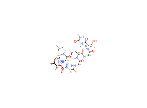 CNC(=O)N(C)C(=O)[C@@H](NC(=O)[C@H](C)N(C)C(=O)[C@H](CC(C)C)N(C)C(=O)[C@H](C)NC(=O)[C@H](C)NC(=O)[C@H](CC(C)C)NC(=O)[C@H](CC(C)C)N(C)C(=O)[C@H](C)NC(=O)[C@@H](C)C(C)C)[C@@H](C)O